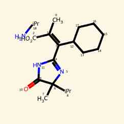 C/C(C(=O)O)=C(/C1=NC(C)(C(C)C)C(=O)N1)C1CCCCC1.CC(C)N